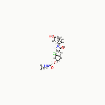 O=C(COc1ccc(CC2CCN(C3C4CC5CC3CC(O)(C5)C4)C2=O)c(Cl)c1)NCC1CC1